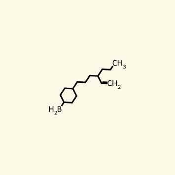 BC1CCC(CCCC(C=C)CCC)CC1